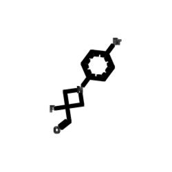 O=CC1(F)CN(c2ccc(Br)cc2)C1